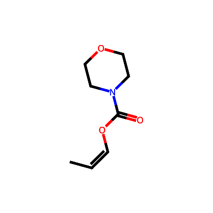 C/C=C\OC(=O)N1CCOCC1